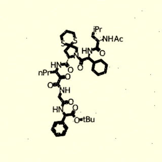 CCCC(NC(=O)[C@@H]1CC2(CN1C(=O)[C@@H](NC(=O)[C@H](CC(C)C)NC(C)=O)C1CCCCC1)SCCCS2)C(=O)C(=O)NCC(=O)NC(C(=O)OC(C)(C)C)c1ccccc1